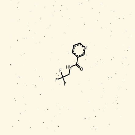 O=C(NCC(F)(F)F)c1cc[c]nc1